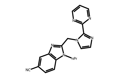 CCCn1c(Cn2ccnc2-c2ncccn2)nc2cc(C#N)ccc21